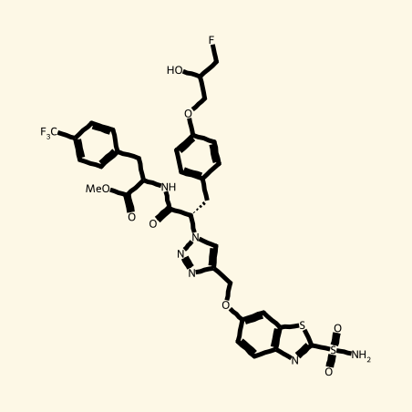 COC(=O)C(Cc1ccc(C(F)(F)F)cc1)NC(=O)[C@H](Cc1ccc(OCC(O)CF)cc1)n1cc(COc2ccc3nc(S(N)(=O)=O)sc3c2)nn1